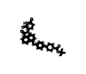 CC(C)(C)OC(=O)N1CCN(c2ccc(Cc3ccc4c5c(cccc35)C(=O)N4C3CCC(=O)NC3=O)cc2)CC1